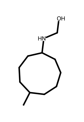 CC1CCCCC(NCO)CCC1